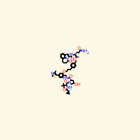 Cc1ncsc1-c1ccc(CNC(=O)[C@@H]2C[C@@H](O)CN2C(=O)[C@@H](NC(=O)C2(F)CC2)C(C)(C)C)c(OCCCc2ccc(CO[C@H](C)[C@H](CCC(N)=O)NC(=O)[C@@H]3Cc4cccc5c4N3C(=O)CCC5)cc2)c1